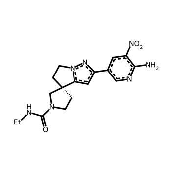 CCNC(=O)N1CC[C@@]2(CCn3nc(-c4cnc(N)c([N+](=O)[O-])c4)cc32)C1